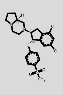 CS(=O)(=O)c1ccc(O[C@H]2c3cc(Cl)cc(Cl)c3C[C@@H]2N2CCN3CCC[C@H]3C2)cc1